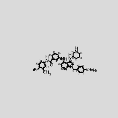 COc1ccc(Cn2nc(NC3CCCNC3)c3c(Nc4cccc(C(=O)Nc5ccc(C(C)C)c(C)c5)c4)ccnc32)cc1